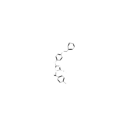 Cc1ccc(C(=O)n2nc(Nc3ccc(OCc4ccccc4)cc3)nc2N)cc1